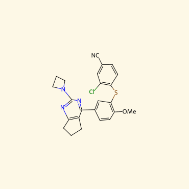 COc1ccc(-c2nc(N3CCC3)nc3c2CCC3)cc1Sc1ccc(C#N)cc1Cl